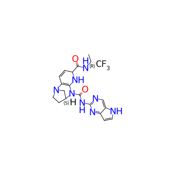 C[C@@H](NC(=O)C1C=CC2=C(N1)N(C(=O)Nc1ncc3[nH]ccc3n1)[C@H]1CCN2C1)C(F)(F)F